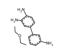 CCOCC.Nc1cccc(-c2ccc(N)c(N)c2)c1